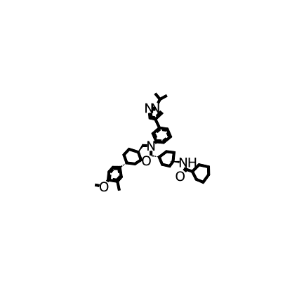 COc1ccc([C@H]2CC[C@H](CN(c3cccc(-c4cnn(C(C)C)c4)c3)C(=O)[C@H]3CC[C@H](NC(=O)C4CCCCC4)CC3)CC2)cc1C